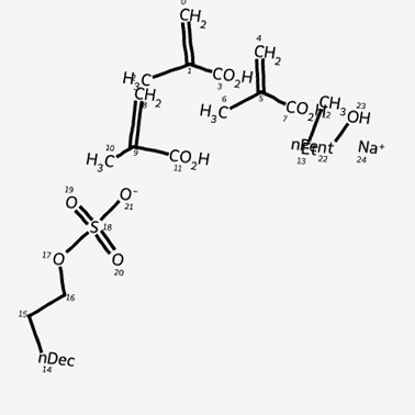 C=C(C)C(=O)O.C=C(C)C(=O)O.C=C(C)C(=O)O.CCC.CCCCCCCCCCCCOS(=O)(=O)[O-].CCCCCO.[Na+]